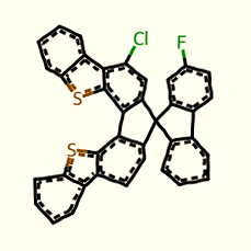 Fc1ccc2c(c1)C1(c3ccccc3-2)c2ccc3c(sc4ccccc43)c2-c2c1cc(Cl)c1c2sc2ccccc21